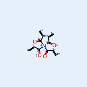 C=CC(=O)[N+](C(=O)C=C)(C(=O)C=C)C(=O)C=C